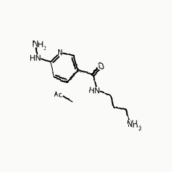 CC(C)=O.NCCCNC(=O)c1ccc(NN)nc1